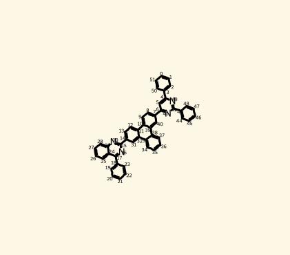 c1ccc(-c2cc(-c3ccc4c5ccc(-c6nc(-c7ccccc7)c7ccccc7n6)cc5c5ccccc5c4c3)nc(-c3ccccc3)n2)cc1